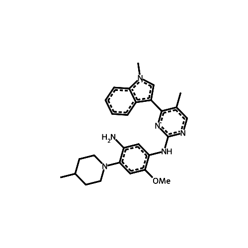 COc1cc(N2CCC(C)CC2)c(N)cc1Nc1ncc(C)c(-c2cn(C)c3ccccc23)n1